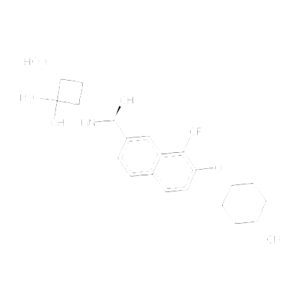 C[C@H](N[C@H]1C[C@@H](C(=O)O)C1(C)C)c1ccc2ccc(O[C@H]3CC[C@@H](C)CC3)c(C(F)(F)F)c2c1